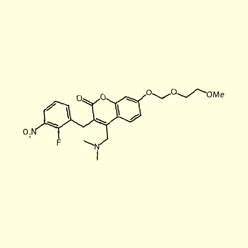 COCCOCOc1ccc2c(CN(C)C)c(Cc3cccc([N+](=O)[O-])c3F)c(=O)oc2c1